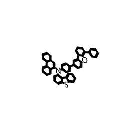 c1ccc(-c2cccc3c2oc2ccc(-c4ccc(N(c5cc6ccccc6c6ccccc56)c5cccc6sc7ccccc7c56)cc4)cc23)cc1